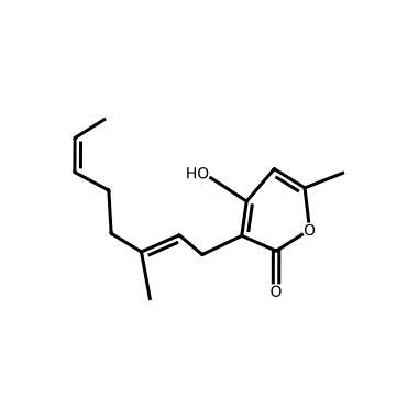 C/C=C\CC/C(C)=C/Cc1c(O)cc(C)oc1=O